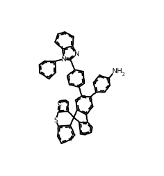 Nc1ccc(-c2cc3c(cc2-c2ccc(-c4nc5ccccc5n4-c4ccccc4)cc2)C2(c4ccccc4Sc4ccccc42)c2ccccc2-3)cc1